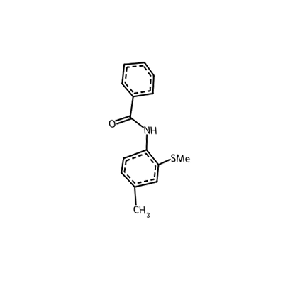 CSc1cc(C)ccc1NC(=O)c1ccccc1